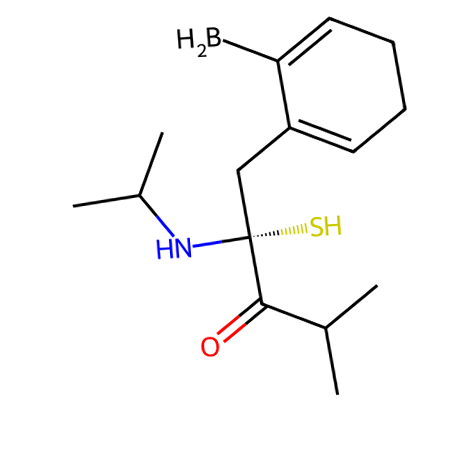 BC1=CCCC=C1C[C@](S)(NC(C)C)C(=O)C(C)C